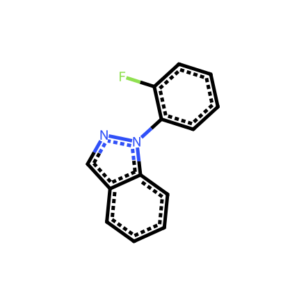 Fc1ccccc1-n1ncc2ccccc21